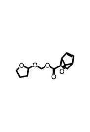 O=C1C2C=CC1C(C(=O)OCOC1CCCO1)C2